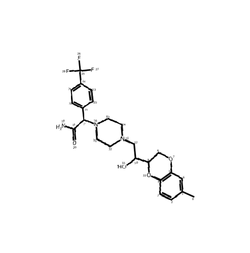 Cc1ccc2c(c1)OCC(C(O)CN1CCN(C(C(N)=O)c3ccc(C(F)(F)F)cc3)CC1)O2